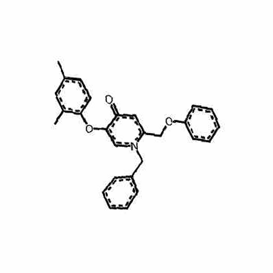 Cc1ccc(Oc2cn(Cc3ccccc3)c(COc3ccccc3)cc2=O)c(C)c1